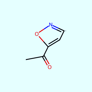 CC(=O)c1c[c]no1